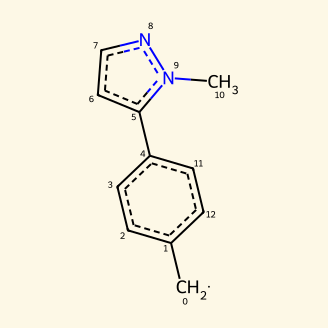 [CH2]c1ccc(-c2ccnn2C)cc1